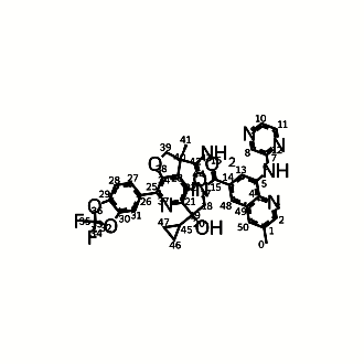 Cc1cnc2c(Nc3cnccn3)cc(C(=O)NCC(O)(c3cc4c(c(-c5ccc6c(c5)OC(F)(F)O6)n3)OC[C@]4(C)C(N)=O)C3CC3)cc2c1